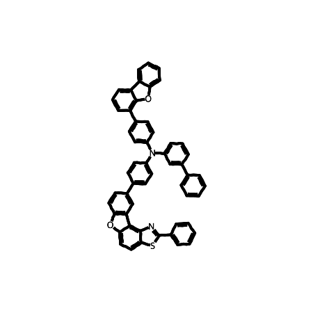 c1ccc(-c2cccc(N(c3ccc(-c4ccc5oc6ccc7sc(-c8ccccc8)nc7c6c5c4)cc3)c3ccc(-c4cccc5c4oc4ccccc45)cc3)c2)cc1